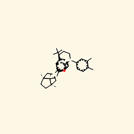 Fc1ccc(N2CCCn3nc(N[C@H]4[C@@H]5CC[C@H]4CN(c4ccnc(C(F)(F)F)c4)C5)nc32)cc1F